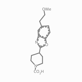 COCCc1ccc2oc(C3CCN(C(=O)O)CC3)nc2c1